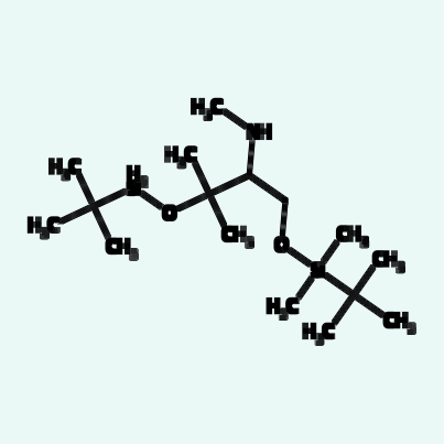 CNC(CO[Si](C)(C)C(C)(C)C)C(C)(C)O[SiH2]C(C)(C)C